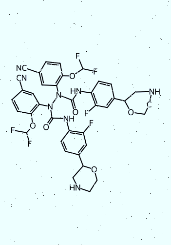 N#Cc1ccc(OC(F)F)c(N(C(=O)Nc2ccc(C3CNCCO3)cc2F)N(C(=O)Nc2ccc(C3CNCCO3)cc2F)c2cc(C#N)ccc2OC(F)F)c1